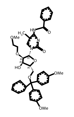 COCCO[C@@H]1[C@H](O)[C@@H](COC(c2ccccc2)(c2ccc(OC)cc2)c2ccc(OC)cc2)O[C@H]1n1cc(C)c(NC(=O)c2ccccc2)nc1=O